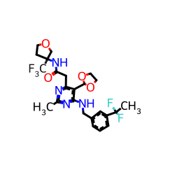 Cc1nc(CC(=O)NC2(C(F)(F)F)CCOC2)c(C2OCCO2)c(NCc2cccc(C(C)(F)F)c2)n1